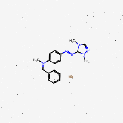 Br.CN(Cc1ccccc1)c1ccc(N=NC2N(C)C=NN2C)cc1